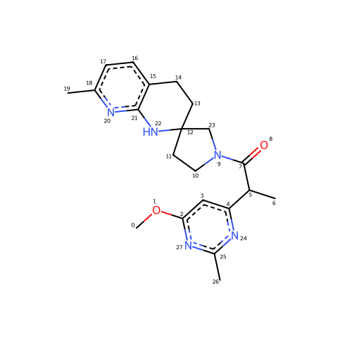 COc1cc(C(C)C(=O)N2CCC3(CCc4ccc(C)nc4N3)C2)nc(C)n1